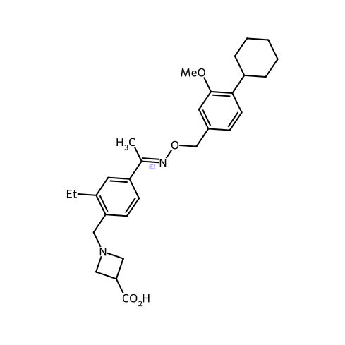 CCc1cc(/C(C)=N/OCc2ccc(C3CCCCC3)c(OC)c2)ccc1CN1CC(C(=O)O)C1